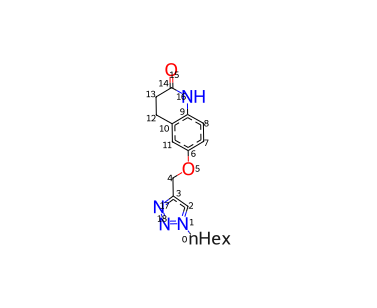 CCCCCCn1cc(COc2ccc3c(c2)CCC(=O)N3)nn1